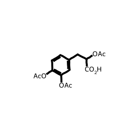 CC(=O)Oc1ccc(CC(OC(C)=O)C(=O)O)cc1OC(C)=O